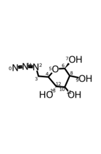 [N-]=[N+]=NCC1O[C@@H](O)C(O)C(O)[C@@H]1O